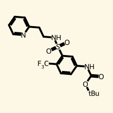 CC(C)(C)OC(=O)Nc1ccc(C(F)(F)F)c(S(=O)(=O)NCCc2ccccn2)c1